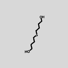 OCCCCSCCCCO